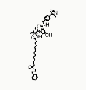 Cc1ncsc1-c1ccc([C@H](C)NC(=O)[C@@H]2C[C@@H](O)CN2C(=O)[C@@H](NC(=O)CCCCCCCCCCCC(=O)OCc2ccccc2)C(C)(C)C)cc1